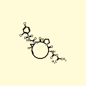 C=C(C)OC(=O)N[C@H]1CCCCC/C=C\[C@@H]2C[C@@]2(C(=O)NS(=O)(=O)c2ccc(Cl)cc2Cl)NC(=O)[C@@H]2CCCN2C1=O